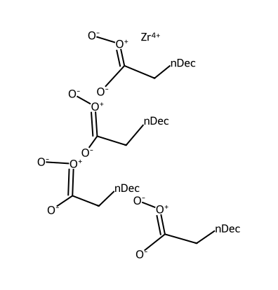 CCCCCCCCCCCC([O-])=[O+][O-].CCCCCCCCCCCC([O-])=[O+][O-].CCCCCCCCCCCC([O-])=[O+][O-].CCCCCCCCCCCC([O-])=[O+][O-].[Zr+4]